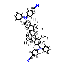 Cc1ccccc1N(c1ccc(C#N)cc1)c1ccc2c(c1)C(C)(C)c1cc3c(cc1-2)C(C)(C)c1cc(N(c2ccc(C#N)cc2)c2ccccc2C)cc(C)c1-3